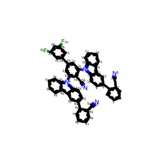 N#Cc1ccccc1-c1ccc2c(c1)c1ccccc1n2-c1cc(-c2cc(F)cc(F)c2)cc(-n2c3ccccc3c3cc(-c4ccccc4C#N)ccc32)c1C#N